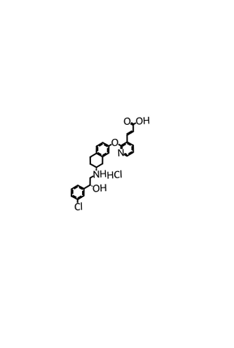 Cl.O=C(O)C=Cc1cccnc1Oc1ccc2c(c1)C[C@@H](NC[C@H](O)c1cccc(Cl)c1)CC2